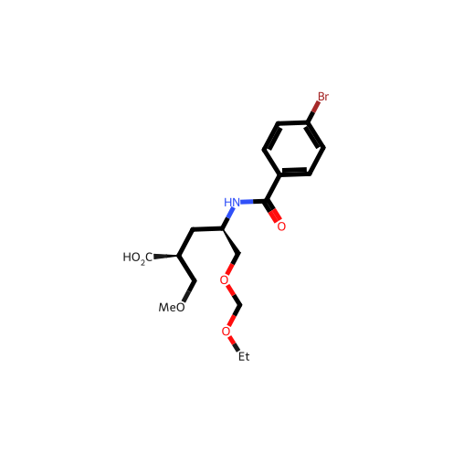 CCOCOC[C@@H](C[C@@H](COC)C(=O)O)NC(=O)c1ccc(Br)cc1